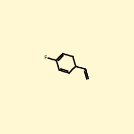 C=CC1[C]=CC(F)=CC1